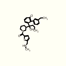 [CH2]CCC(O)(c1cccc(Cl)c1-c1cccc(CC)c1)C1CCCN(C(=O)c2ccc(CNC)s2)C1